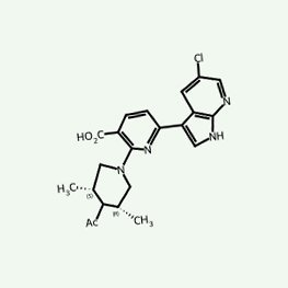 CC(=O)C1[C@H](C)CN(c2nc(-c3c[nH]c4ncc(Cl)cc34)ccc2C(=O)O)C[C@@H]1C